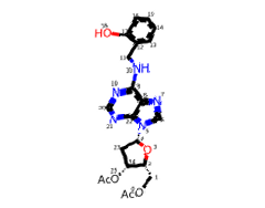 CC(=O)OC[C@H]1O[C@@H](n2cnc3c(NCc4ccccc4O)ncnc32)C[C@H]1OC(C)=O